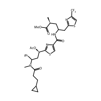 COC(=O)[C@@H](C)CC(Cc1nc(C(F)(F)F)cs1)NC(=O)c1csc([C@@H](CC(C(C)C)N(C)C(=O)CCC2CC2)OC(C)=O)n1